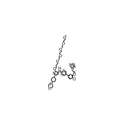 COCCOCCOCCOCCOCCCOc1nn(C2CCC(N3CCOCC3)CC2)cc1Nc1ncc(-c2ccc(Cl)c(O[C@@H](C)Cn3cnnn3)c2)cn1